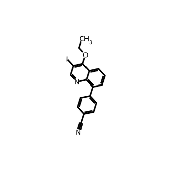 CCOc1c(I)cnc2c(-c3ccc(C#N)cc3)cccc12